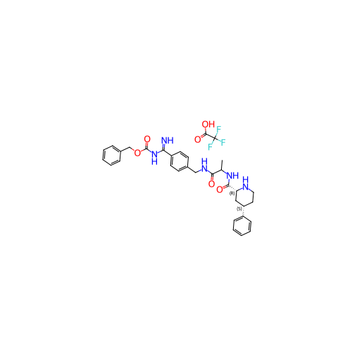 CC(NC(=O)[C@H]1C[C@@H](c2ccccc2)CCN1)C(=O)NCc1ccc(C(=N)NC(=O)OCc2ccccc2)cc1.O=C(O)C(F)(F)F